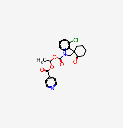 CC(OC(=O)NC[C@@]1(c2ccccc2Cl)CCCCC1=O)OC(=O)c1ccncc1